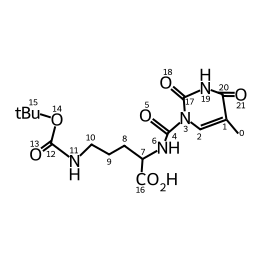 Cc1cn(C(=O)NC(CCCNC(=O)OC(C)(C)C)C(=O)O)c(=O)[nH]c1=O